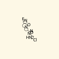 O=C1c2cnc(F)cc2CCC2CCC(c3noc(-c4cc(Cl)c[nH]4)n3)CN12